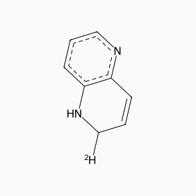 [2H]C1C=Cc2ncccc2N1